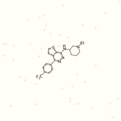 CCN1CCCC(Nc2nnc(-c3ccc(C(F)(F)F)cc3)c3ccsc23)C1